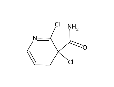 NC(=O)C1(Cl)CC=CN=C1Cl